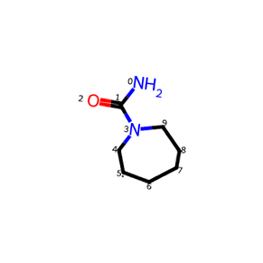 NC(=O)N1C[CH]CCCC1